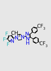 Cc1c(N2CCN(c3nc(-c4ccc(C(F)(F)F)cc4)c(-c4ccc(C(F)(F)F)cc4)[nH]3)CC2)nc(F)c(F)c1F